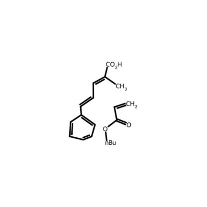 C=CC(=O)OCCCC.CC(=CC=Cc1ccccc1)C(=O)O